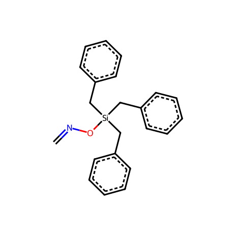 C=NO[Si](Cc1ccccc1)(Cc1ccccc1)Cc1ccccc1